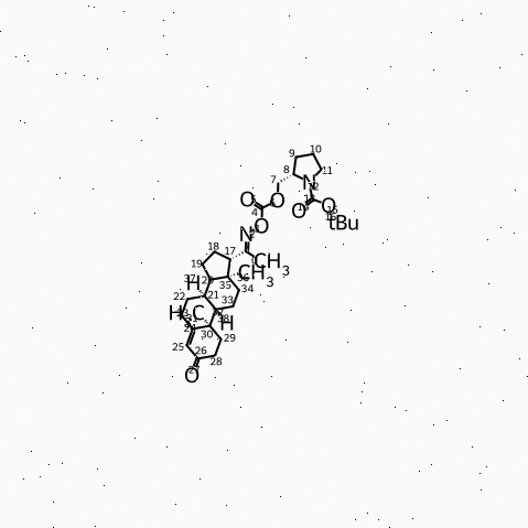 C/C(=N\OC(=O)OC[C@@H]1CCCN1C(=O)OC(C)(C)C)[C@H]1CCC2[C@@H]3CCC4=CC(=O)CC[C@]4(C)[C@H]3CC[C@@]21C